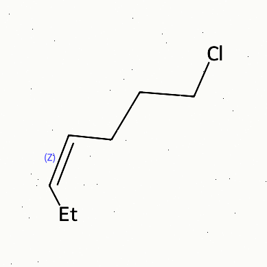 CC/C=C\CCCCl